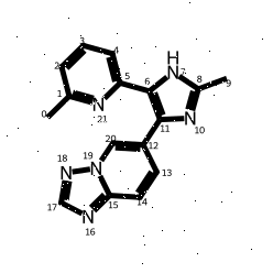 Cc1cccc(-c2[nH]c(C)nc2-c2ccc3ncnn3c2)n1